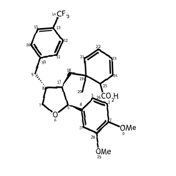 COc1ccc([C@H]2OC[C@H](Cc3ccc(C(F)(F)F)cc3)[C@H]2CC2(C)C=CC=CC2C(=O)O)cc1OC